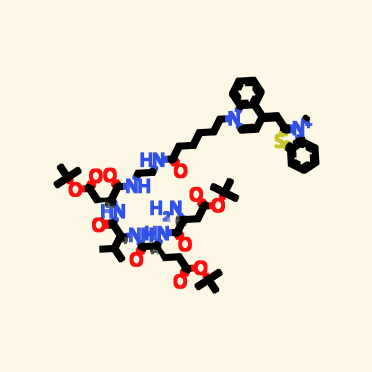 CC(C)[C@H](NC(=O)[C@H](CCC(=O)OC(C)(C)C)NC(=O)[C@@H](N)CC(=O)OC(C)(C)C)C(=O)N[C@@H](CC(=O)OC(C)(C)C)C(=O)NCCNC(=O)CCCCCN1C=CC(=Cc2sc3ccccc3[n+]2C)c2ccccc21